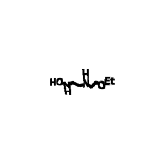 CCOCCNCCNO